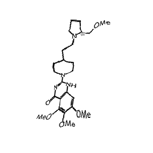 COC[C@@H]1CCCN1CCC1CCN(c2nc(=O)c3c(OC)c(OC)c(OC)cc3[nH]2)CC1